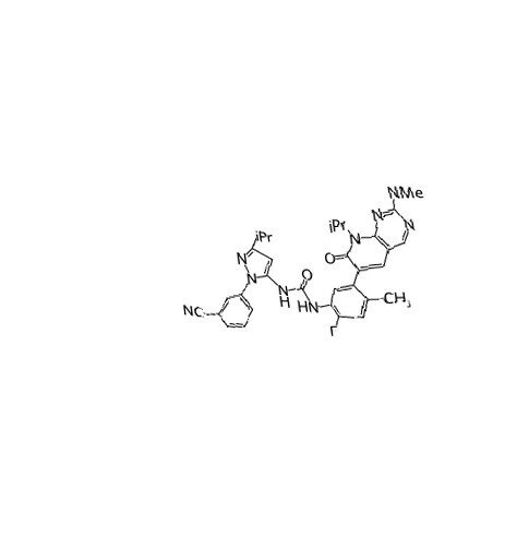 CNc1ncc2cc(-c3cc(NC(=O)Nc4cc(C(C)C)nn4-c4cccc(C#N)c4)c(F)cc3C)c(=O)n(C(C)C)c2n1